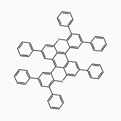 c1ccc(-c2cc(-c3ccccc3)c3sc4cc(-c5ccccc5)cc5c4c(c3c2)c2cc(-c3ccccc3)cc3sc4c(-c6ccccc6)cc(-c6ccccc6)cc4c5c32)cc1